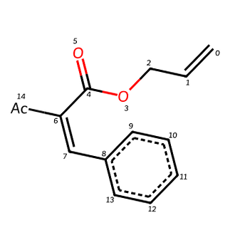 C=CCOC(=O)C(=Cc1ccccc1)C(C)=O